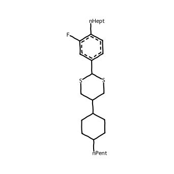 CCCCCCCc1ccc(C2SCC(C3CCC(CCCCC)CC3)CS2)cc1F